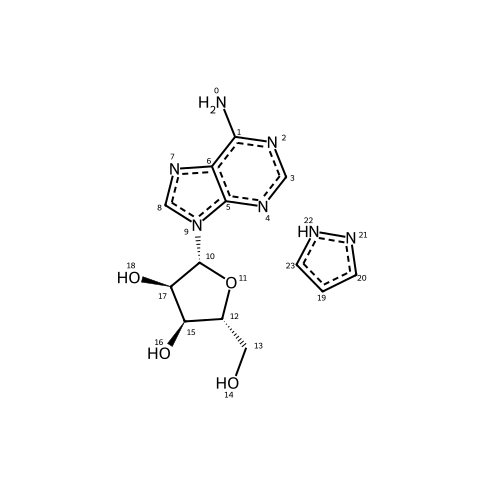 Nc1ncnc2c1ncn2[C@@H]1O[C@H](CO)[C@@H](O)[C@H]1O.c1cn[nH]c1